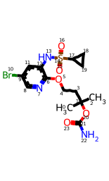 CC(C)(CCOc1ncc(Br)cc1NS(=O)(=O)C1CC1)OC(N)=O